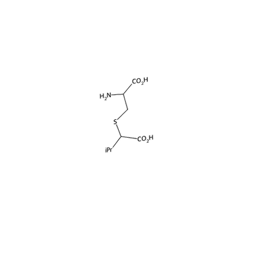 CC(C)C(SCC(N)C(=O)O)C(=O)O